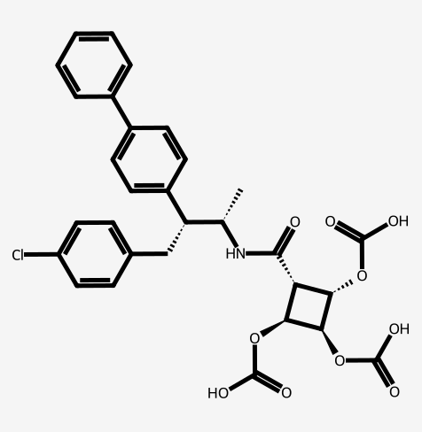 C[C@H](NC(=O)[C@H]1[C@H](OC(=O)O)[C@H](OC(=O)O)[C@H]1OC(=O)O)[C@H](Cc1ccc(Cl)cc1)c1ccc(-c2ccccc2)cc1